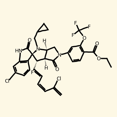 C=C(Cl)/C=C\C=C(/F)[C@H]1[C@@H]2C(=O)N(c3ccc(C(=O)OCC)c(OC(F)(F)F)c3)C[C@@H]2N(CC2CC2)[C@@]12C(=O)Nc1cc(Cl)ccc12